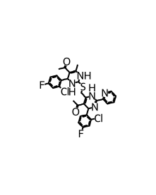 CC(=O)C1=C(CSC2NC(C)=C(C(C)=O)C(c3ccc(F)cc3Cl)N2)NC(c2ccccn2)=NC1c1ccc(F)cc1Cl